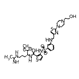 COC(=O)[C@H](CCCNC(C)=N)NC(=O)c1sccc1NS(=O)(=O)c1cccc(NCc2csc(N3CCN(CCO)CC3)n2)c1